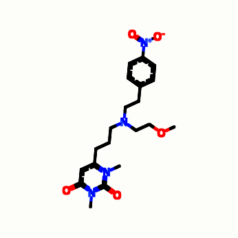 COCCN(CCCc1cc(=O)n(C)c(=O)n1C)CCc1ccc([N+](=O)[O-])cc1